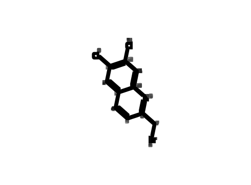 Clc1cc2ccc(CBr)nc2cc1Cl